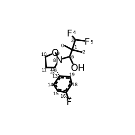 CC(C)(C(F)F)C(O)N1OCC[C@H]1c1ccc(F)cc1